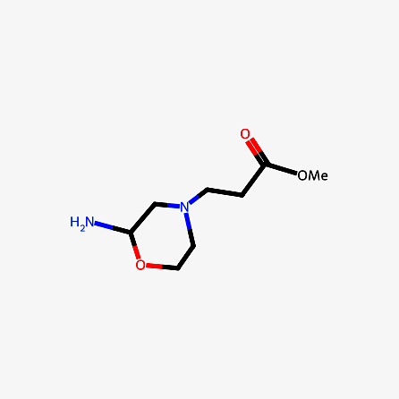 COC(=O)CCN1CCOC(N)C1